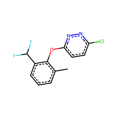 Cc1cccc(C(F)F)c1Oc1ccc(Cl)nn1